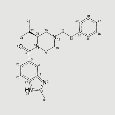 Cc1nc2cc(C(=O)N3CCN(CCc4ccccc4)C[C@@H]3C(C)C)ccc2[nH]1